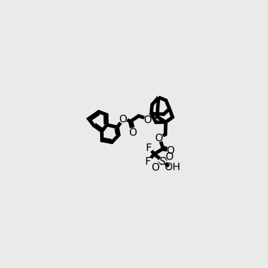 O=C(COC12CC3CC(CC(COC(=O)C(F)(F)S(=O)(=O)O)(C3)C1)C2)Oc1cccc2ccccc12